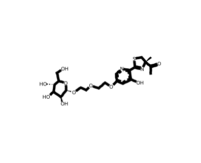 CC(=O)[C@@]1(C)CSC(c2ncc(OCCOCCO[C@H]3OC(CO)[C@@H](O)C(O)[C@@H]3O)cc2O)=N1